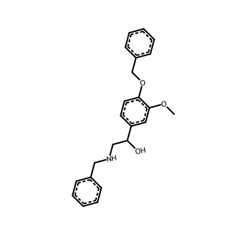 COc1cc(C(O)CNCc2ccccc2)ccc1OCc1ccccc1